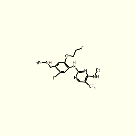 CCCNCc1cc(OCCF)c(Nc2ncc(C(F)(F)F)c(NCC)n2)cc1F